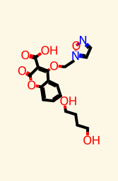 CCOc1c(C(=O)O)c(=O)oc2ccccc12.OCCCCO.c1cnon1